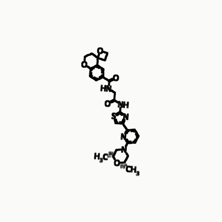 C[C@@H]1CN(c2cccc(-c3csc(NC(=O)CNC(=O)c4ccc5c(c4)C4(CCO5)CCO4)n3)n2)C[C@H](C)O1